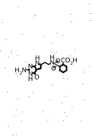 Nc1nc2[nH]c(CCNS(=O)(=O)c3ccccc3C(=O)O)cc2c(=O)[nH]1